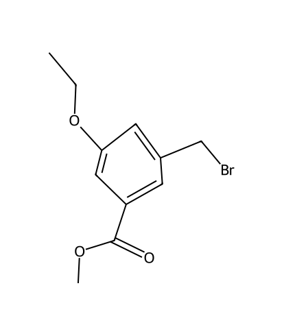 CCOc1cc(CBr)cc(C(=O)OC)c1